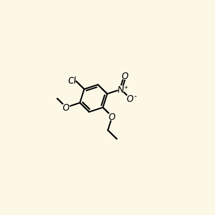 CCOc1cc(OC)c(Cl)cc1[N+](=O)[O-]